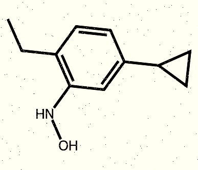 CCc1ccc(C2CC2)cc1NO